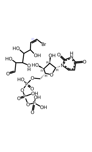 O=CC(O)C(O)C(O)C(O)/C=C\Br.O=c1ccn([C@@H]2O[C@H](COP(=O)(O)OP(=O)(O)OP(=O)(O)O)[C@@H](O)[C@H]2O)c(=O)[nH]1